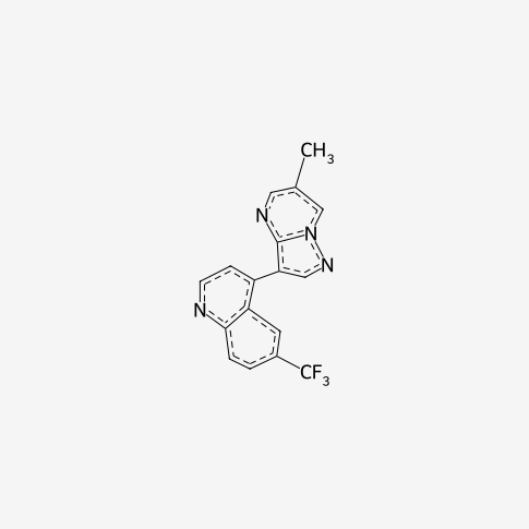 Cc1cnc2c(-c3ccnc4ccc(C(F)(F)F)cc34)cnn2c1